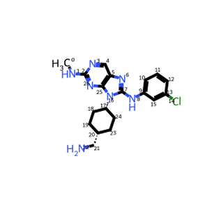 CNc1ncc2nc(Nc3cccc(Cl)c3)n([C@H]3CC[C@@H](CN)CC3)c2n1